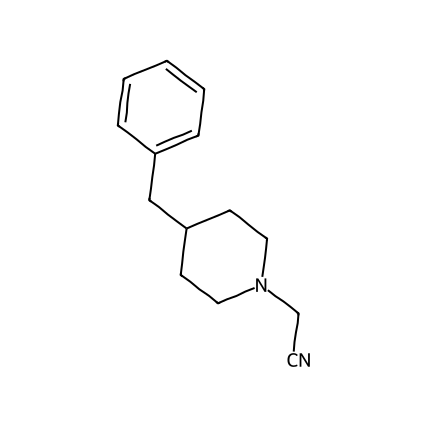 N#CCN1CCC(Cc2ccccc2)CC1